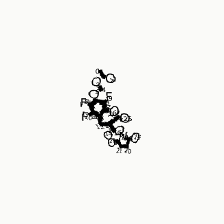 CC(=O)OCOc1c(F)c(F)c2cc(C(=O)ON3C(=O)CCC3=O)c(=O)oc2c1F